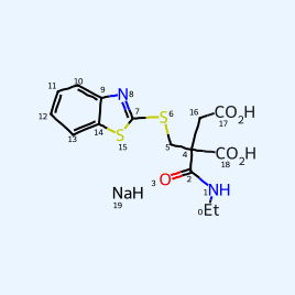 CCNC(=O)C(CSc1nc2ccccc2s1)(CC(=O)O)C(=O)O.[NaH]